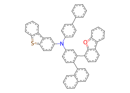 c1ccc(-c2ccc(N(c3ccc(-c4cccc5ccccc45)c(-c4cccc5c4oc4ccccc45)c3)c3ccc4sc5ccccc5c4c3)cc2)cc1